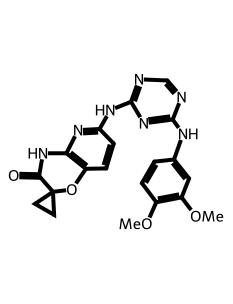 COc1ccc(Nc2ncnc(Nc3ccc4c(n3)NC(=O)C3(CC3)O4)n2)cc1OC